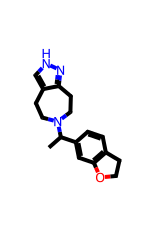 CC(c1ccc2c(c1)OCC2)N1CCc2c[nH]nc2CC1